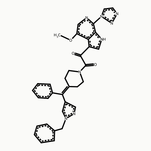 COc1cnc(-n2ccnn2)c2[nH]cc(C(=O)C(=O)N3CCC(=C(c4ccccc4)c4cnn(Cc5ccccc5)c4)CC3)c12